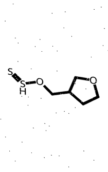 S=[SH]OCC1CCOC1